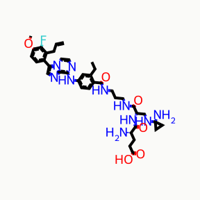 C=CCc1c(-c2cnc3c(Nc4ccc(C(=O)NCCCNC(=O)C(CNC5(N)CC5)NC(=O)[C@@H](N)CCC(=O)O)c(CC)c4)nccn23)ccc(OC)c1F